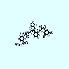 COC(=O)c1cccc(NC(=O)NCC(=O)N(CC2CCCC2)c2ccccc2OCC(=O)N(C)c2cc(F)cc(F)c2)c1